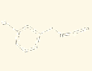 S=C=NCc1cccc(Cl)c1